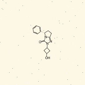 O=c1n(C2CC(O)C2)nc2n1[C@H](c1ccccc1)CC2